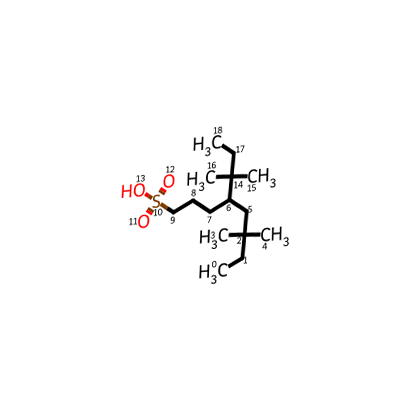 CCC(C)(C)CC(CCCS(=O)(=O)O)C(C)(C)CC